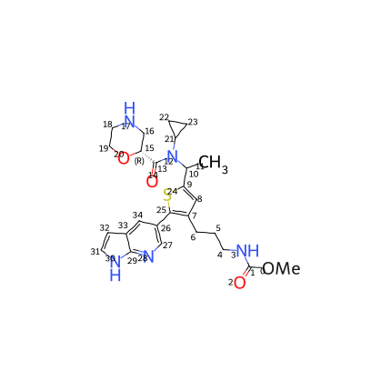 COC(=O)NCCCc1cc(C(C)N(C(=O)[C@H]2CNCCO2)C2CC2)sc1-c1cnc2[nH]ccc2c1